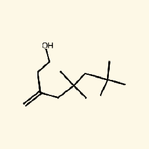 C=C(CCO)CC(C)(C)CC(C)(C)C